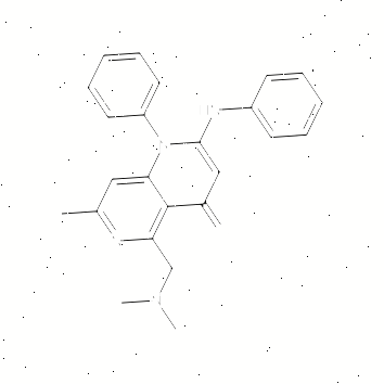 Cc1cc2c(c(CN(C)C)n1)c(=O)cc(Nc1ccccc1)n2-c1ccccc1